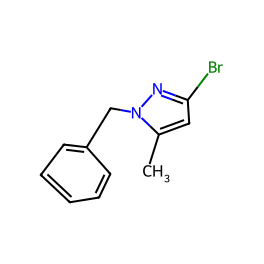 Cc1cc(Br)nn1Cc1ccccc1